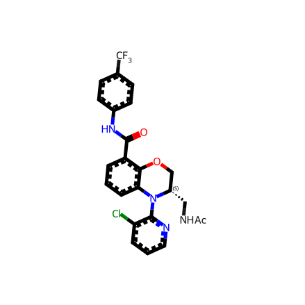 CC(=O)NC[C@H]1COc2c(C(=O)Nc3ccc(C(F)(F)F)cc3)cccc2N1c1ncccc1Cl